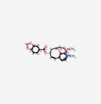 COc1ccc2c3c1OC(CCCN(C)C2)C[C@@H](OC(=O)c1ccc2c(c1)OCO2)/C=C\3